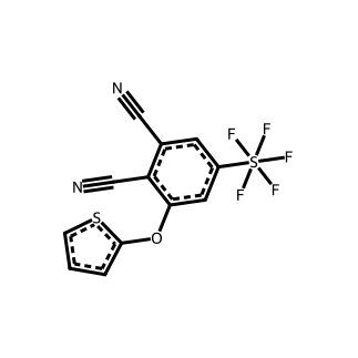 N#Cc1cc(S(F)(F)(F)(F)F)cc(Oc2cccs2)c1C#N